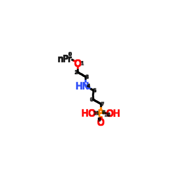 CCCOCCNCCCP(=O)(O)O